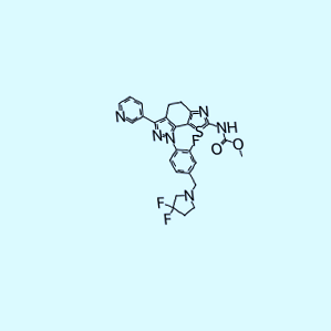 COC(=O)Nc1nc2c(s1)-c1c(c(-c3cccnc3)nn1-c1ccc(CN3CCC(F)(F)C3)cc1F)CC2